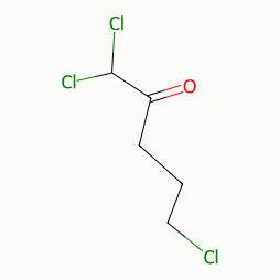 O=C(CCCCl)C(Cl)Cl